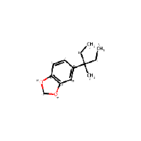 CCC(C)(CC)c1ccc2c(c1)OCO2